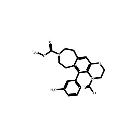 CCC(=O)N1CCOc2cc3c(c(-c4cccc(C)c4)c21)CCN(C(=O)OC(C)(C)C)CC3